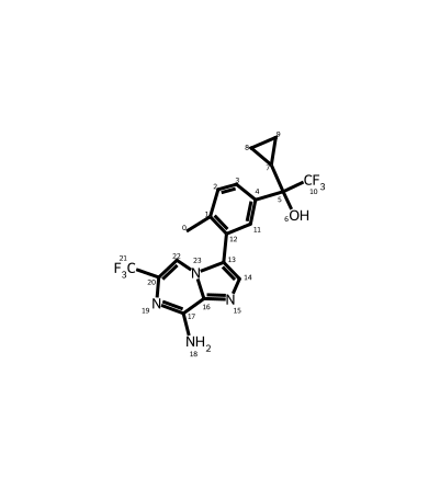 Cc1ccc(C(O)(C2CC2)C(F)(F)F)cc1-c1cnc2c(N)nc(C(F)(F)F)cn12